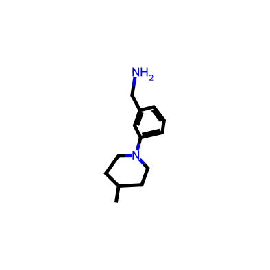 CC1CCN(c2cccc(CN)c2)CC1